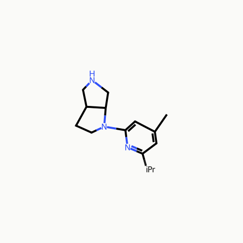 Cc1cc(C(C)C)nc(N2CCC3CNCC32)c1